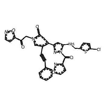 O=C(Cn1cc(C#Cc2ccccc2)c(-c2cc(NCc3ccc(Cl)s3)n(C(=O)c3ccon3)n2)cc1=O)c1ccno1